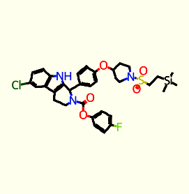 C[Si](C)(C)CCS(=O)(=O)N1CCC(Oc2ccc(C3c4[nH]c5ccc(Cl)cc5c4CCN3C(=O)Oc3ccc(F)cc3)cc2)CC1